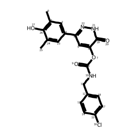 Cc1cc(-c2cc(OC(=O)NCc3ccc(Cl)cc3)c(=O)[nH]n2)cc(C)c1O